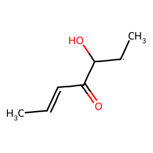 C[CH]C(O)C(=O)C=CC